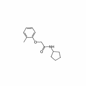 Cc1ccccc1OCC(=O)NC1CCCC1